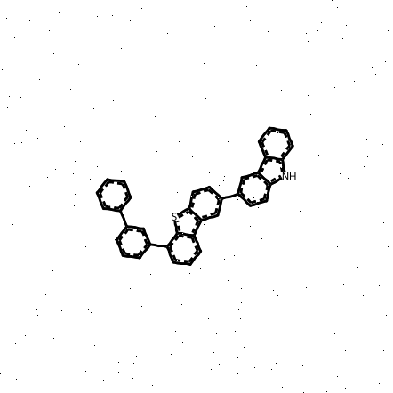 c1ccc(-c2cccc(-c3cccc4c3sc3ccc(-c5ccc6[nH]c7ccccc7c6c5)cc34)c2)cc1